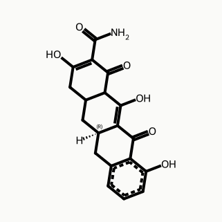 NC(=O)C1=C(O)CC2C[C@@H]3Cc4cccc(O)c4C(=O)C3=C(O)C2C1=O